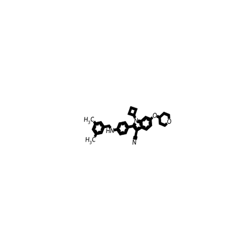 Cc1cc(C)cc(CNc2ccc(-c3c(C#N)c4ccc(OC5CCOCC5)cc4n3C3CCC3)cc2)c1